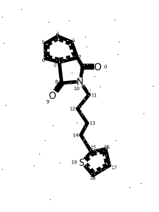 O=C1c2ccccc2C(=O)N1CCCCc1cccs1